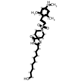 CNc1cc(C)c(C=CS(=O)(=O)N2CCC3(CC2)N=C(CCCCCCCCCO)NC3=O)c(C)c1